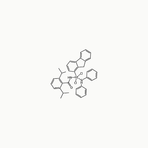 CC(C)c1cccc(C(C)C)c1C(=O)[NH][Hf]([Cl])([Cl])([c]1cccc2c1Cc1ccccc1-2)[SiH](c1ccccc1)c1ccccc1